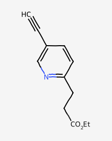 C#Cc1ccc(CCC(=O)OCC)nc1